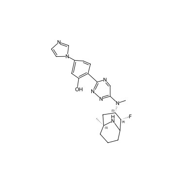 CN(c1cnc(-c2ccc(-n3ccnc3)cc2O)nn1)[C@H]1C[C@]2(C)CCCC(N2)[C@H]1F